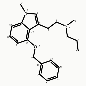 CCCN(C)CCc1cn(C)c2cccc(OCc3ccccc3)c12